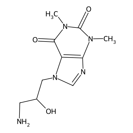 Cn1c(=O)c2c(ncn2CC(O)CN)n(C)c1=O